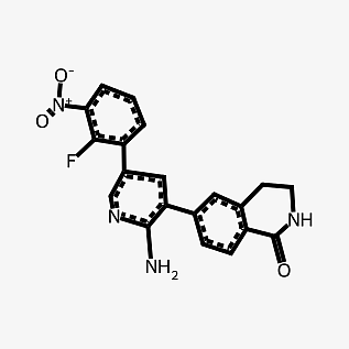 Nc1ncc(-c2cccc([N+](=O)[O-])c2F)cc1-c1ccc2c(c1)CCNC2=O